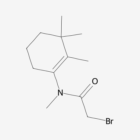 CC1=C(N(C)C(=O)CBr)CCCC1(C)C